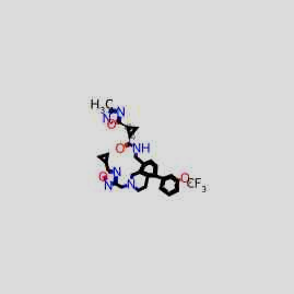 Cc1noc([C@H]2C[C@@H]2C(=O)NCc2ccc(-c3cccc(OC(F)(F)F)c3)c3c2CN(Cc2noc(C4CC4)n2)CC3)n1